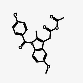 COc1ccc2c(c1)c(CC(=O)OC(C)=O)c(C)n2C(=O)c1ccc(Cl)cc1